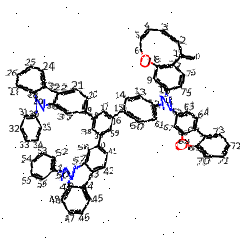 C=C1/C=C\C=C/COc2cc(N(c3ccc(-c4cc(-c5ccc6c7ccccc7n(-c7ccccc7)c6c5)cc(-c5ccc6c7ccccc7n(-c7ccccc7)c6c5)c4)cc3)c3ccc4c(c3)oc3ccccc34)ccc21